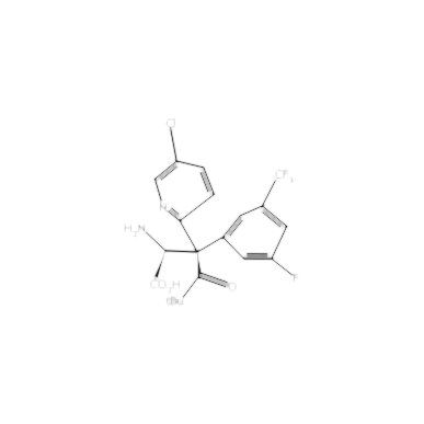 CC(C)(C)C(=O)[C@](c1cc(F)cc(C(F)(F)F)c1)(c1ccc(Cl)cn1)[C@H](N)C(=O)O